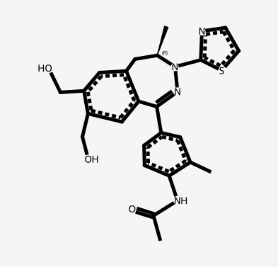 CC(=O)Nc1ccc(C2=NN(c3nccs3)[C@H](C)Cc3cc(CO)c(CO)cc32)cc1C